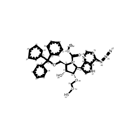 CC(C)(C)OC(=O)N1[C@H](COC(c2ccccc2)(c2ccccc2)c2ccccc2)[C@@H](O)[C@@H](OCOS)[C@@H]1c1c[nH]c2c(N=[N+]=[N-])ncnc12